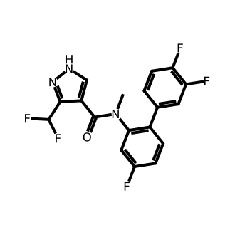 CN(C(=O)c1c[nH]nc1C(F)F)c1cc(F)ccc1-c1ccc(F)c(F)c1